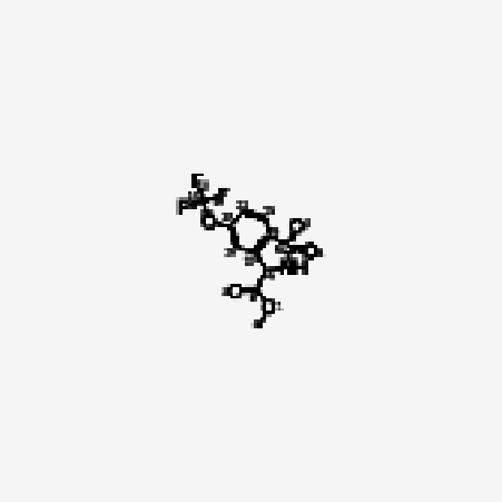 COC(=O)C1NS(=O)(=O)c2ccc(OC(F)(F)F)cc21